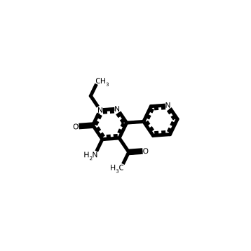 CCn1nc(-c2cccnc2)c(C(C)=O)c(N)c1=O